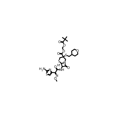 CON=C(C(=O)NC1C(=O)N2CC(SCC3CCOCC3)(C(=O)OCOC(=O)C(C)(C)C)CS[C@H]12)c1csc(N)n1